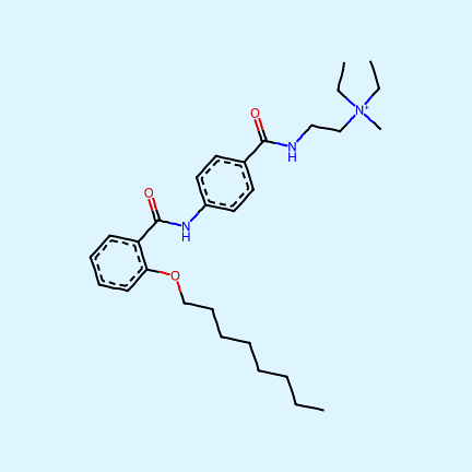 CCCCCCCCOc1ccccc1C(=O)Nc1ccc(C(=O)NCC[N+](C)(CC)CC)cc1